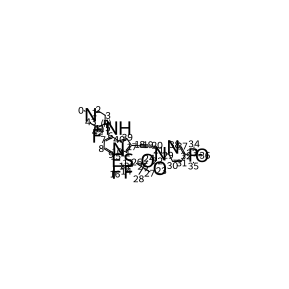 CN1CC[C@@H](Nc2cccn3c(SC(F)(F)F)c(C#CCN(C(=O)OC(C)(C)C)c4ccc(P(C)(C)=O)cn4)cc23)[C@@H](F)C1